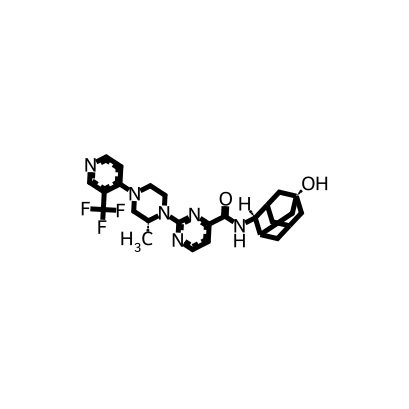 C[C@@H]1CN(c2ccncc2C(F)(F)F)CCN1c1nccc(C(=O)N[C@H]2C3CC4CC2C[C@](O)(C4)C3)n1